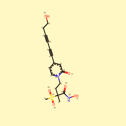 CC(CCn1ccc(C#CC#CCCO)cc1=O)(C(=O)NO)S(C)(=O)=O